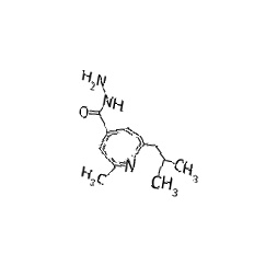 Cc1cc(C(=O)NN)cc(CC(C)C)n1